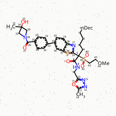 CCCCCCCCCCCCCCC(C(=O)NCc1nnc(C)o1)(c1nc2ccc(-c3ccc(C(=O)N4CC(C)(O)C4)cc3)cc2s1)S(=O)(=O)CCOC